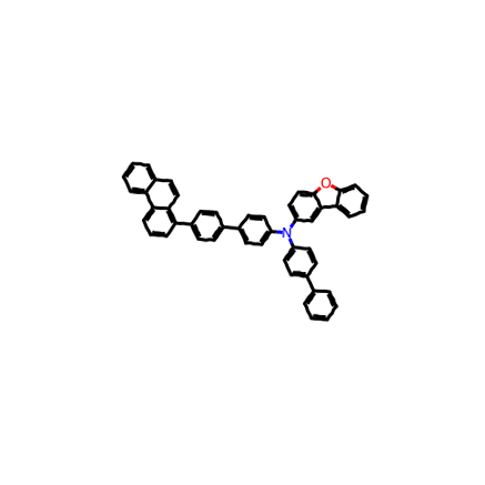 c1ccc(-c2ccc(N(c3ccc(-c4ccc(-c5cccc6c5ccc5ccccc56)cc4)cc3)c3ccc4oc5ccccc5c4c3)cc2)cc1